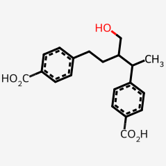 CC(c1ccc(C(=O)O)cc1)C(CO)CCc1ccc(C(=O)O)cc1